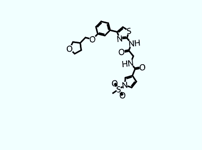 CS(=O)(=O)n1ccc(C(=O)NCC(=O)Nc2nc(-c3cccc(OCC4CCOC4)c3)cs2)c1